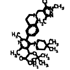 Cc1nn(C)c(Cl)c1CN1CCc2cc(-c3c(C)nc(C)c(C(OC(C)(C)C)C(=O)O)c3N3CCC(C)(C)CC3)ccc2C1